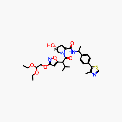 CCOC(COc1cc(C(C(=O)N2C[C@H](O)C[C@H]2C(=O)NC(C)c2ccc(-c3scnc3C)cc2)C(C)C)on1)OCC